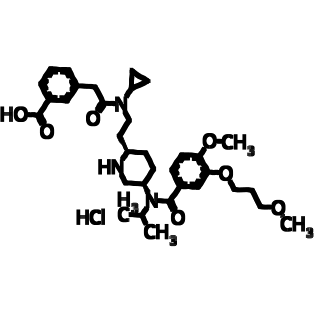 COCCCOc1cc(C(=O)N(C(C)C)[C@@H]2CC[C@H](CCN(C(=O)Cc3cccc(C(=O)O)c3)C3CC3)NC2)ccc1OC.Cl